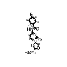 O=C(Nc1ccn([C@@H]2CO[C@H](CO)O2)c(=O)n1)c1ccc(F)cc1